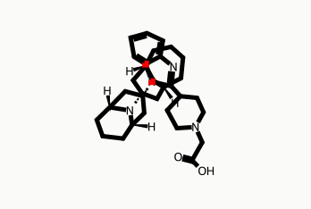 O=C(O)CN1CCC(c2nc3ccccc3n2[C@H]2C[C@H]3CCC[C@@H](C2)N3[C@@H]2C[C@@H]3CCCC[C@@H](C3)C2)CC1